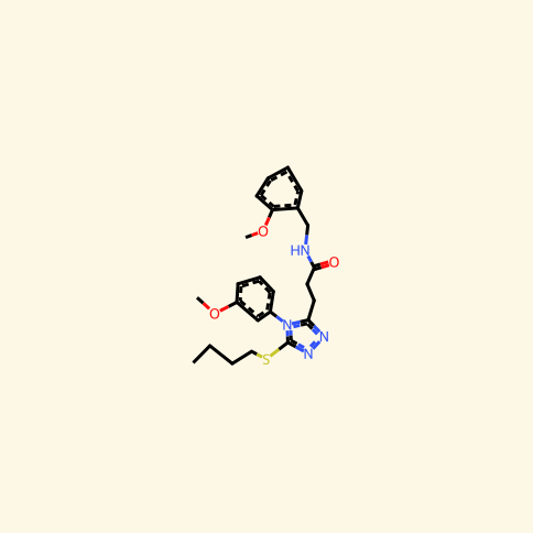 CCCCSc1nnc(CCC(=O)NCc2ccccc2OC)n1-c1cccc(OC)c1